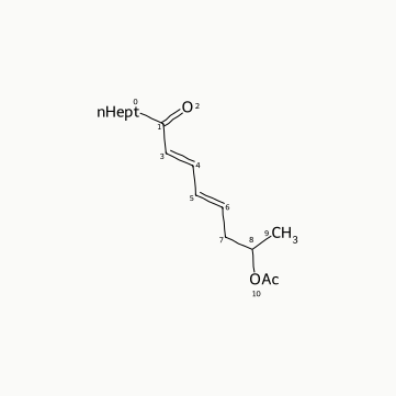 CCCCCCCC(=O)C=CC=CCC(C)OC(C)=O